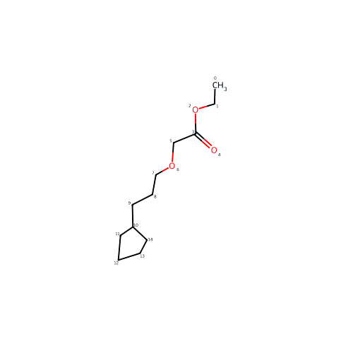 CCOC(=O)COCCCC1CCCC1